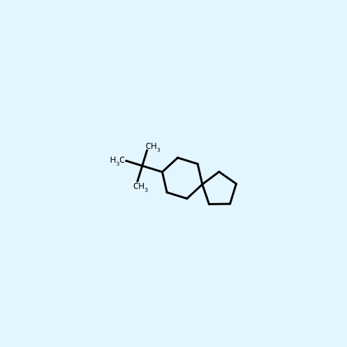 CC(C)(C)C1CCC2(CCCC2)CC1